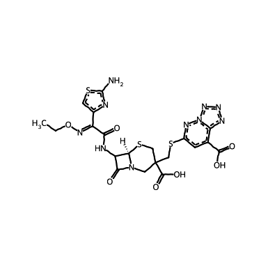 CCON=C(C(=O)NC1C(=O)N2CC(CSc3cc(C(=O)O)c4nnnn4n3)(C(=O)O)CS[C@H]12)c1csc(N)n1